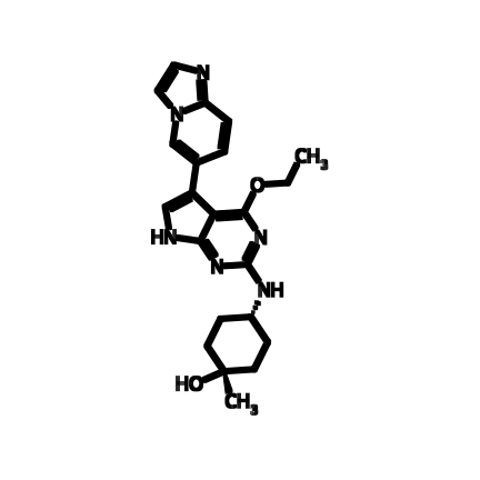 CCOc1nc(N[C@H]2CC[C@@](C)(O)CC2)nc2[nH]cc(-c3ccc4nccn4c3)c12